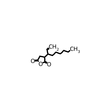 C=CC(CCCCCC)C1CC(=O)OC1=O